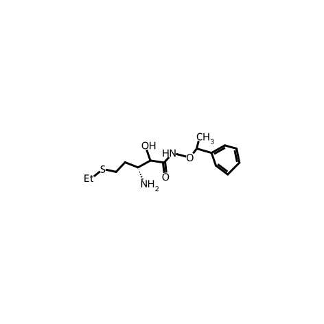 CCSCC[C@@H](N)C(O)C(=O)NOC(C)c1ccccc1